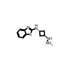 NN[C@H]1C[C@H](Nc2nc3ccccc3s2)C1